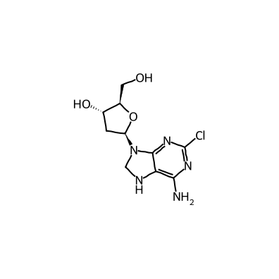 Nc1nc(Cl)nc2c1NCN2[C@H]1C[C@H](O)[C@@H](CO)O1